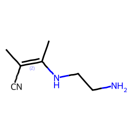 C/C(C#N)=C(\C)NCCN